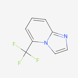 FC(F)(F)c1cccc2nccn12